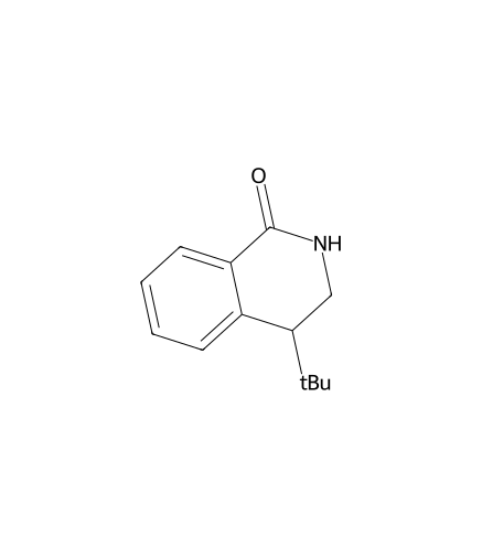 CC(C)(C)C1CNC(=O)c2ccccc21